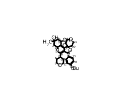 CC1(C)Cc2nc(C3CCOCC3)c3c(c2C(O)C1)C1(CCOCC1)O[C@@H]3c1ccc(C(C)(C)C)cc1